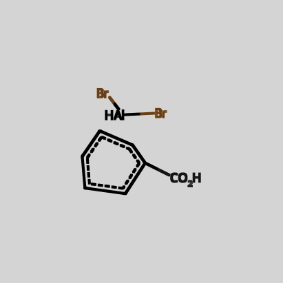 O=C(O)c1ccccc1.[Br][AlH][Br]